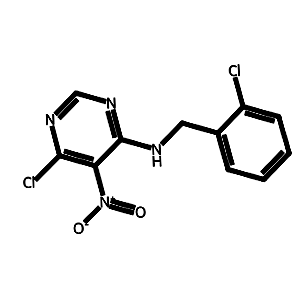 O=[N+]([O-])c1c(Cl)ncnc1NCc1ccccc1Cl